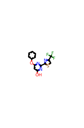 Oc1cc(Oc2ccccc2)nc(-c2nc(C(F)(F)F)cs2)n1